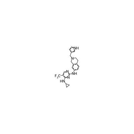 FC(F)(F)c1cnc(Nc2ccc3c(c2)CN(Cc2cc[nH]c2)CC3)nc1NC1CC1